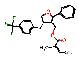 C/C=C(/C)C(=O)OC[C@@H]1C(c2ccccc2)OC[C@@H]1Cc1ccc(C(F)(F)F)cc1